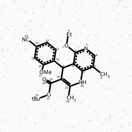 CCOc1ncc(C)c2c1C(c1ccc(C#N)cc1OC)C(C(=O)OC(C)(C)C)=C(C)N2